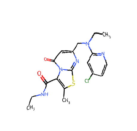 CCNC(=O)c1c(C)sc2nc(CN(CC)c3cc(Cl)ccn3)cc(=O)n12